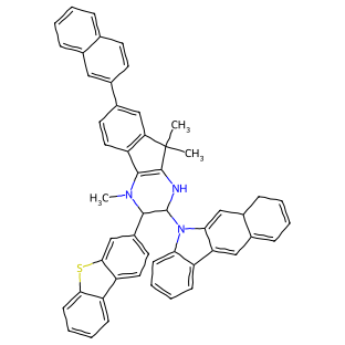 CN1C2=C(NC(n3c4c(c5ccccc53)=CC3=CC=CCC3C=4)C1c1ccc3c(c1)sc1ccccc13)C(C)(C)c1cc(-c3ccc4ccccc4c3)ccc12